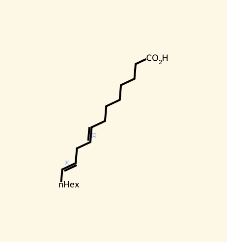 CCCCCC/C=C/C/C=C/CCCCCCC(=O)O